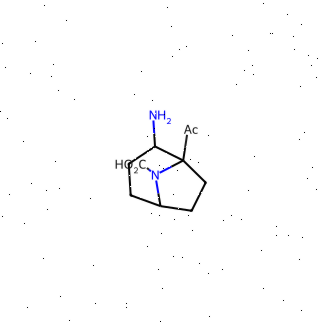 CC(=O)C12CCC(CCC1N)N2C(=O)O